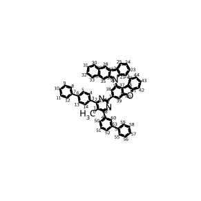 Cc1c(-c2ccc(-c3ccccc3)cc2)nc(-c2cc(-n3c4ccccc4c4cc5ccccc5cc43)c3c(c2)oc2ccccc23)nc1-c1cccc(-c2ccccc2)c1